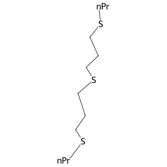 CCCSCCCSCCCSCCC